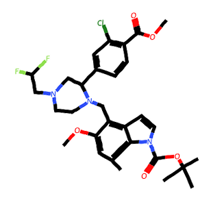 COC(=O)c1ccc(C2CN(CC(F)F)CCN2Cc2c(OC)cc(C)c3c2ccn3C(=O)OC(C)(C)C)cc1Cl